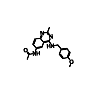 COc1ccc(CNc2nc(C)nc3ccc(NC(C)=O)cc23)cc1